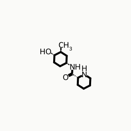 C[C@H]1C[C@H](NC(=O)[C@H]2CCCCN2)CC[C@@H]1O